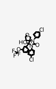 O=C1N(c2ccc(Cl)cc2)C2(CCOC2)C(O)(c2cccc(OC(F)(F)F)c2)N1c1ccc(Cl)cc1